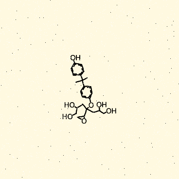 CC(C)(c1ccc(O)cc1)c1ccc(OC(CC(O)CO)(CC(O)CO)C2CO2)cc1